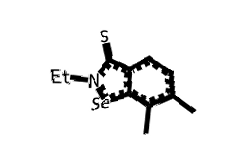 CCn1[se]c2c(C)c(C)ccc2c1=S